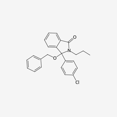 CCCN1C(=O)c2ccccc2C1(OCc1ccccc1)c1ccc(Cl)cc1